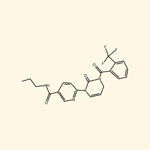 CCCNC(=O)c1ccc(N2C=CCN(C(=O)c3ccccc3C(F)(F)F)C2=O)nc1